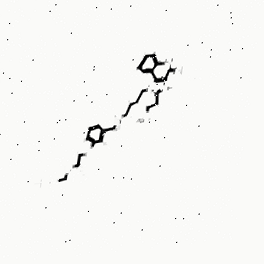 CCOC(=O)COc1cccc(CNCCCCn2c(CCOC)nc3c(N)nc4ccccc4c32)c1